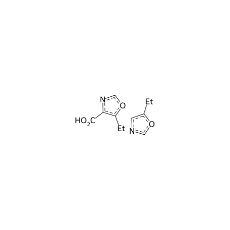 CCc1cnco1.CCc1ocnc1C(=O)O